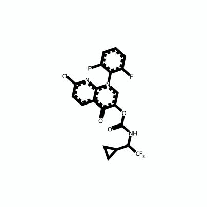 O=C(NC(C1CC1)C(F)(F)F)Oc1cn(-c2c(F)cccc2F)c2nc(Cl)ccc2c1=O